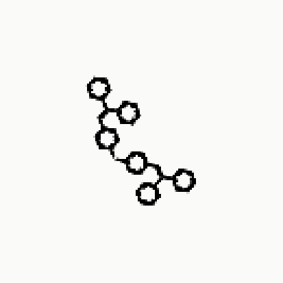 C(=C(c1ccccc1)c1ccccc1)c1ccc(Sc2ccc(C=C(c3ccccc3)c3ccccc3)cc2)cc1